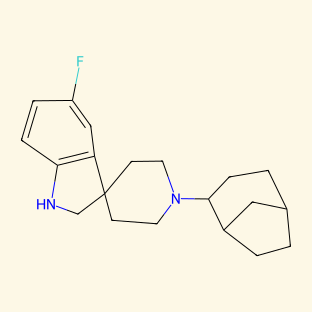 Fc1ccc2c(c1)C1(CCN(C3CCC4CCC3C4)CC1)CN2